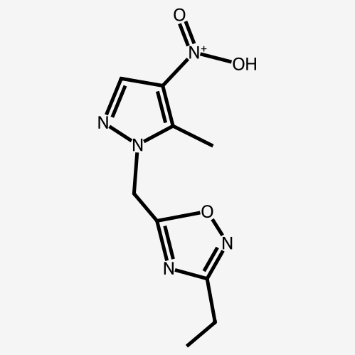 CCc1noc(Cn2ncc([N+](=O)O)c2C)n1